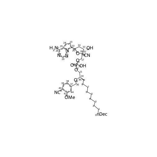 CCCCCCCCCCCCCCCCCCC[C@H](COP(=O)(O)OC[C@@]1(C#N)O[C@@H](c2ccc3c(N)ncnn23)C[C@@H]1O)OCc1ccc(C#N)c(OC)c1